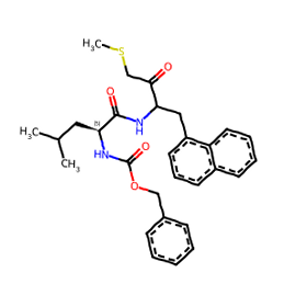 CSCC(=O)C(Cc1cccc2ccccc12)NC(=O)[C@H](CC(C)C)NC(=O)OCc1ccccc1